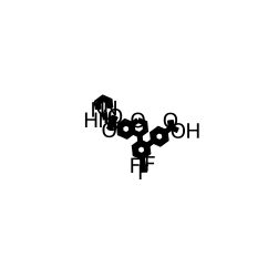 O=C(O)c1ccc(-c2cc(C(F)(F)F)ccc2C2CCOc3cc(S(=O)(=O)Nc4ncccn4)ccc32)cc1